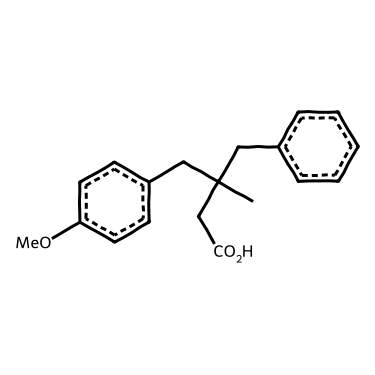 COc1ccc(CC(C)(CC(=O)O)Cc2ccccc2)cc1